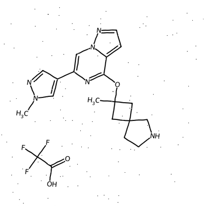 Cn1cc(-c2cn3nccc3c(OC3(C)CC4(CCNC4)C3)n2)cn1.O=C(O)C(F)(F)F